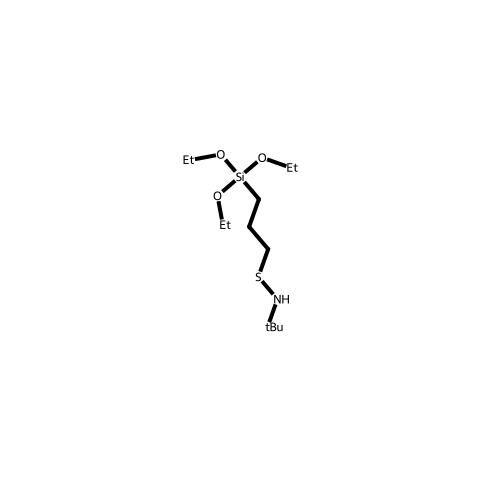 CCO[Si](CCCSNC(C)(C)C)(OCC)OCC